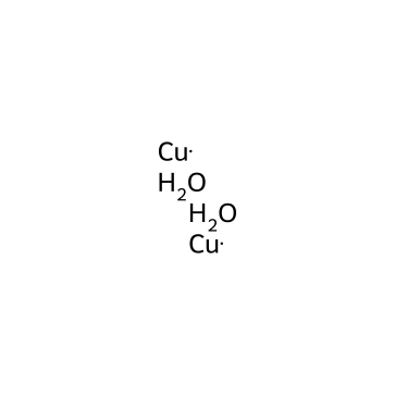 O.O.[Cu].[Cu]